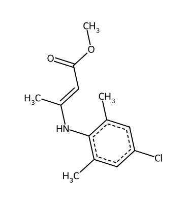 COC(=O)C=C(C)Nc1c(C)cc(Cl)cc1C